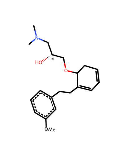 COc1cccc(CCC2=CC=CCC2OC[C@H](O)CN(C)C)c1